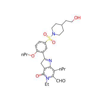 CCCOc1ccc(S(=O)(=O)N2CCC(CCO)CC2)cc1C1=Nc2c(CCC)c(C=O)n(CC)c(=O)c2C1